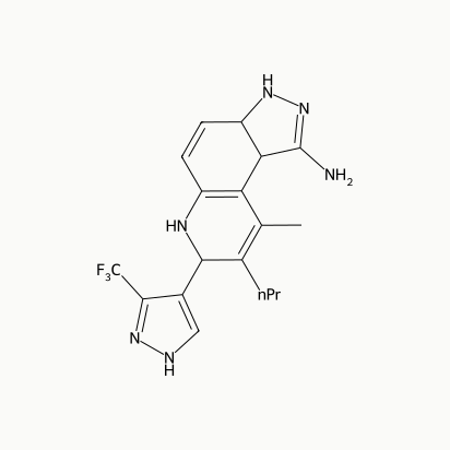 CCCC1=C(C)C2=C(C=CC3NN=C(N)C23)NC1c1c[nH]nc1C(F)(F)F